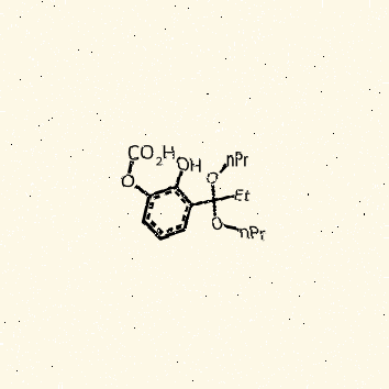 CCCOC(CC)(OCCC)c1cccc(OC(=O)O)c1O